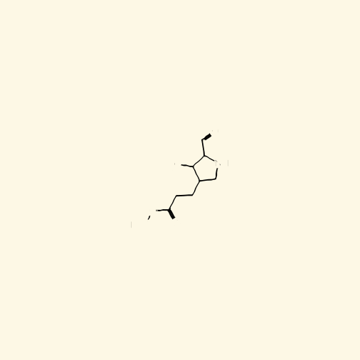 COC(=O)CCC1CNC(C=O)C1C